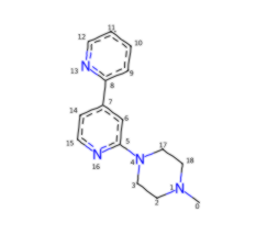 CN1CCN(c2cc(-c3cc[c]cn3)ccn2)CC1